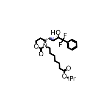 CC(C)OC(=O)CCCCCCN1C(=O)OCC[C@@H]1/C=C/[C@@H](O)C(F)(F)c1ccccc1